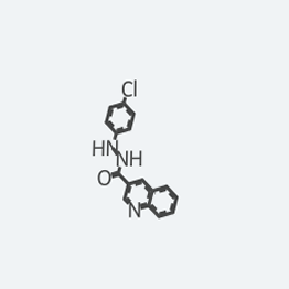 O=C(NNc1ccc(Cl)cc1)c1cnc2ccccc2c1